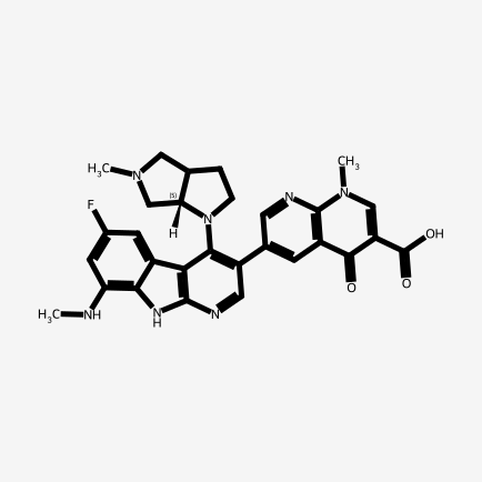 CNc1cc(F)cc2c1[nH]c1ncc(-c3cnc4c(c3)c(=O)c(C(=O)O)cn4C)c(N3CCC4CN(C)C[C@H]43)c12